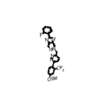 COc1ccc(-c2ccc(Cn3cc4nc(-c5ccccc5F)nc-4cn3)nn2)c(C(F)(F)F)c1